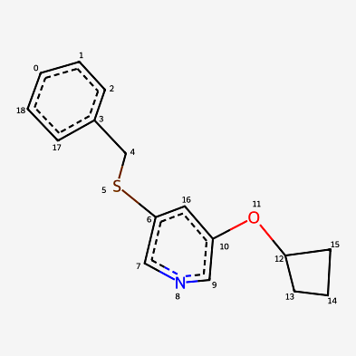 c1ccc(CSc2cncc(OC3CCC3)c2)cc1